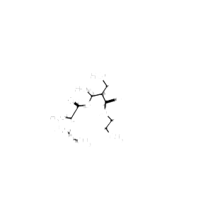 CCCOC(=O)C(CO)C(O)OC(=O)CC.COC